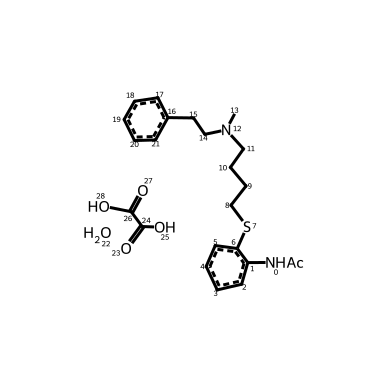 CC(=O)Nc1ccccc1SCCCCN(C)CCc1ccccc1.O.O=C(O)C(=O)O